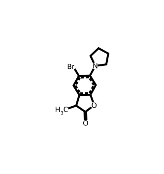 CC1C(=O)Oc2cc(N3CCCC3)c(Br)cc21